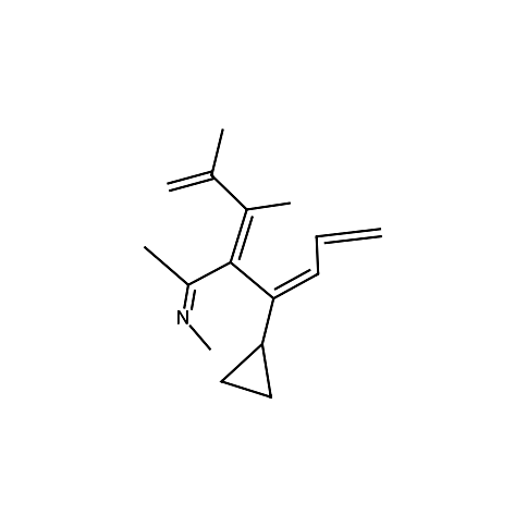 C=C\C=C(C(/C(C)=N\C)=C(\C)C(=C)C)\C1CC1